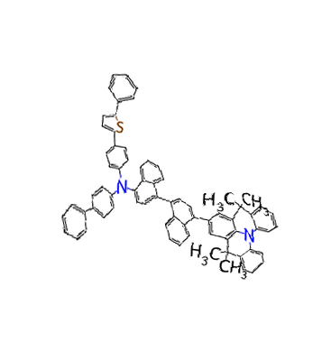 CC1(C)c2ccccc2N2c3ccccc3C(C)(C)c3cc(-c4ccc(-c5ccc(N(c6ccc(-c7ccccc7)cc6)c6ccc(-c7ccc(-c8ccccc8)s7)cc6)c6ccccc56)c5ccccc45)cc1c32